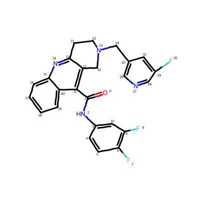 O=C(Nc1ccc(F)c(F)c1)c1c2c(nc3ccccc13)CCN(Cc1cncc(F)c1)C2